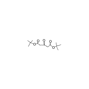 CC(C)(C)OC(=O)CC(=O)CC(=O)OC(C)(C)C